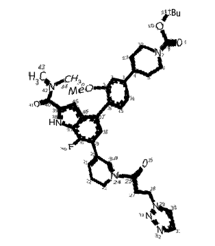 COc1cc(C2CCN(C(=O)OC(C)(C)C)CC2)ccc1-c1cc(C2=CCCN(C(=O)CCn3ccnn3)C2)c(F)c2[nH]c(C(=O)N(C)C)cc12